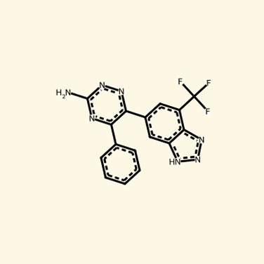 Nc1nnc(-c2cc(C(F)(F)F)c3nn[nH]c3c2)c(-c2ccccc2)n1